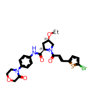 CCO[C@@H]1C[C@H](C(=O)Nc2ccc(N3CCOCC3=O)cc2)N(C(=O)C=Cc2ccc(Br)s2)C1